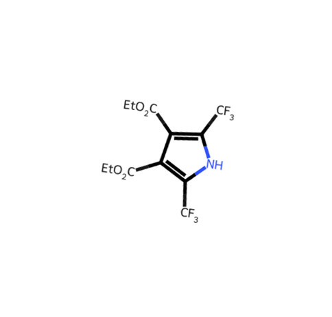 CCOC(=O)c1c(C(F)(F)F)[nH]c(C(F)(F)F)c1C(=O)OCC